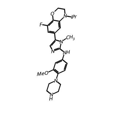 COc1cc(Nc2ncc(-c3cc(F)c4c(c3)N(C(C)C)CCO4)n2C)ccc1N1CCNCC1